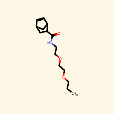 CCCOCCOCCNC(=O)C1CC2C=CC1C2